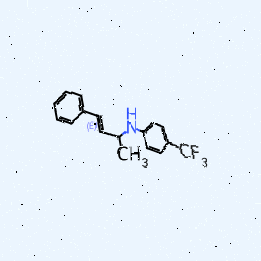 CC(/C=C/c1ccccc1)Nc1ccc(C(F)(F)F)cc1